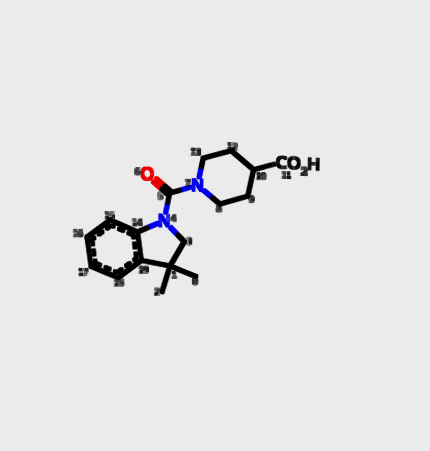 CC1(C)CN(C(=O)N2CCC(C(=O)O)CC2)c2ccccc21